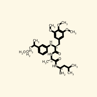 B[C@H](CC(C)C)NC(=O)[C@H](C)NC(=O)[C@H](Cc1cc(OC)c(OC)c(OC)c1)Nc1cccc(C(C)C)c1.O.O